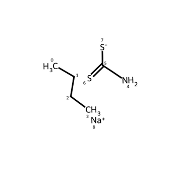 CCCC.NC(=S)[S-].[Na+]